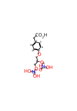 O=C(O)Cc1ccc(OCC(CON(O)O)ON(O)O)cc1